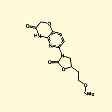 CSOCCC1CN(c2ccc3c(n2)NC(=O)CO3)C(=O)O1